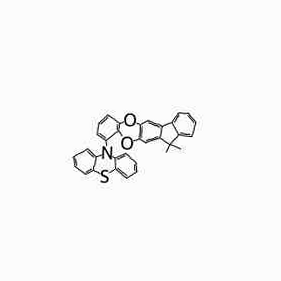 CC1(C)c2ccccc2-c2cc3c(cc21)Oc1c(cccc1N1c2ccccc2Sc2ccccc21)O3